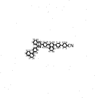 N#Cc1ccc(-c2ccc(-c3ccc(-c4ccc(-c5nc(-c6ccc(-c7cccc8ccccc78)cc6)c6ccccc6n5)cc4)c4ccccc34)cc2)cc1